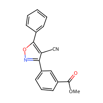 COC(=O)c1cccc(-c2noc(-c3ccccc3)c2C#N)c1